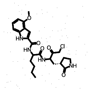 CCCCC(NC(=O)c1cc2c(OC)cccc2[nH]1)C(=O)NC(C[C@@H]1CCNC1=O)C(=O)CCl